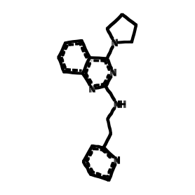 c1ccc(CCNc2nc(N3CCCC3)c3ccccc3n2)nc1